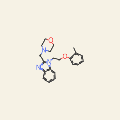 Cc1ccccc1OCCn1c(CN2CCOCC2)nc2ccccc21